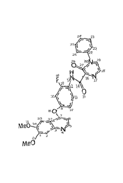 COc1cc2nccc(Oc3ccc(NC(=O)c4nccn(-c5ccccc5)c4=O)c(F)c3)c2cc1OC